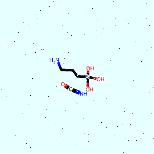 N=C=O.NCCC[Si](O)(O)O